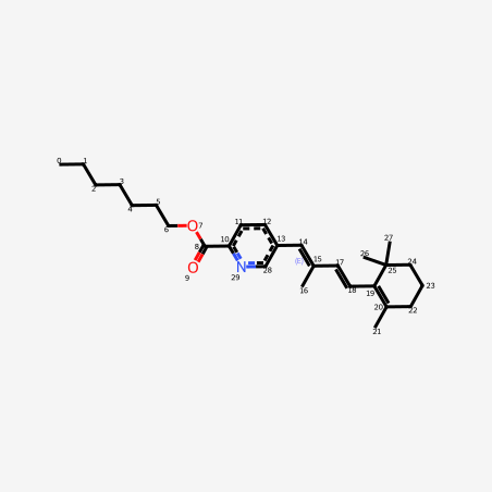 CCCCCCCOC(=O)c1ccc(/C=C(\C)C=CC2=C(C)CCCC2(C)C)cn1